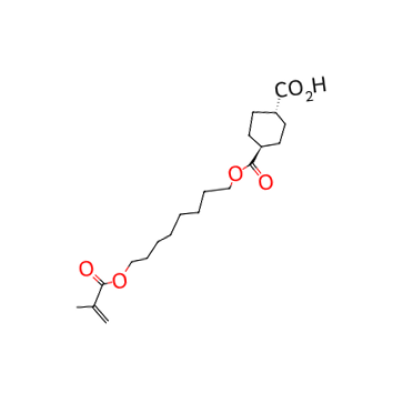 C=C(C)C(=O)OCCCCCCCCOC(=O)[C@H]1CC[C@H](C(=O)O)CC1